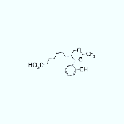 O=C(O)CCC/C=C\C[C@@H]1COC(C(F)(F)F)O[C@@H]1c1ccccc1O